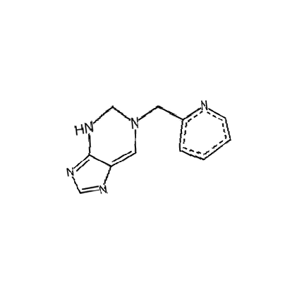 C1=NC2=CN(Cc3ccccn3)CNC2=N1